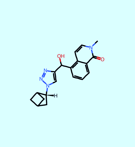 Cn1ccc2c(C(O)c3cn([C@@H]4CC5CC4C5)nn3)cccc2c1=O